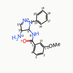 COc1cccc(C(=O)NC2C(N)C=NN2c2ccccc2)c1